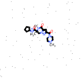 CCN1C(=O)c2cc(C(=O)N3CCN(C)CC3)nn2CC1(C)C(=O)NC1CCCC1